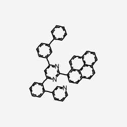 c1ccc(-c2cccc(-c3cc(-c4ccccc4-c4cccnc4)nc(-c4ccc5ccc6cccc7ccc4c5c67)n3)c2)cc1